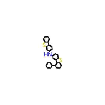 c1ccc(-c2cccc3sc4ccc(Nc5ccc6c(c5)sc5ccccc56)cc4c23)cc1